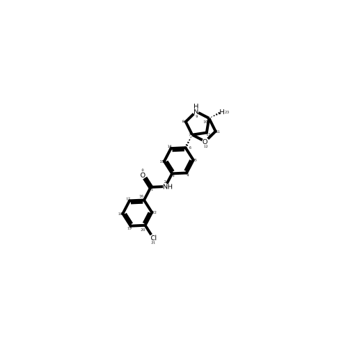 O=C(Nc1ccc([C@@]23CN[C@@H](CO2)C3)cc1)c1cccc(Cl)c1